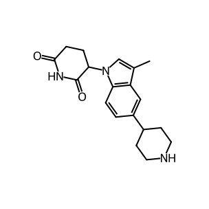 Cc1cn(C2CCC(=O)NC2=O)c2ccc(C3CCNCC3)cc12